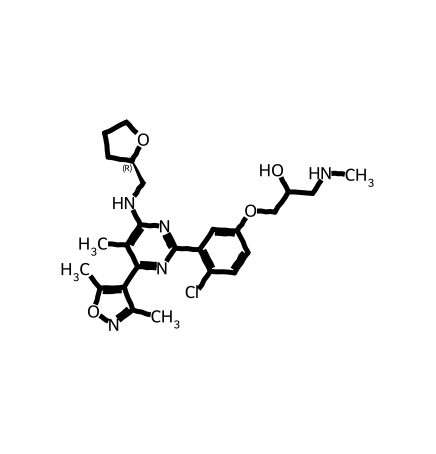 CNCC(O)COc1ccc(Cl)c(-c2nc(NC[C@H]3CCCO3)c(C)c(-c3c(C)noc3C)n2)c1